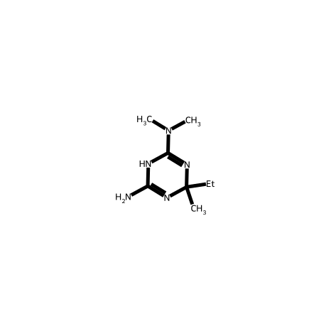 CCC1(C)N=C(N)NC(N(C)C)=N1